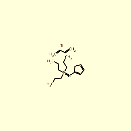 C=CC=C.CCCP(CCC)(CCC)=NC1=CC=CC1.[Ti]